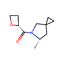 C[C@H]1CC2(CC2)CN1C(=O)[C@H]1CCO1